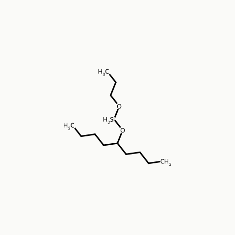 CCCCC(CCCC)O[SiH2]OCCC